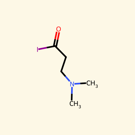 CN(C)CCC(=O)I